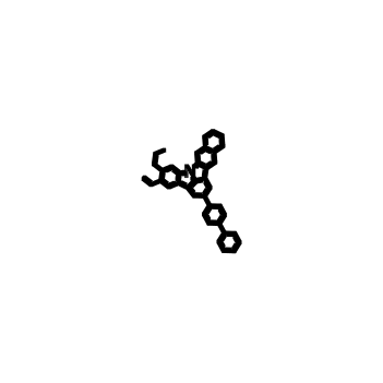 C=Cc1cc2c3cc(-c4ccc(-c5ccccc5)cc4)cc4c5cc6ccccc6cc5n(c2cc1/C=C\C)c34